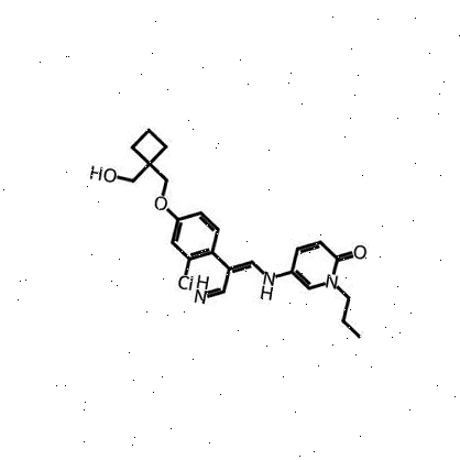 CCCn1cc(N/C=C(\C=N)c2ccc(OCC3(CO)CCC3)cc2Cl)ccc1=O